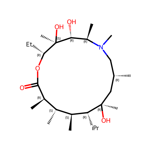 CC[C@H]1OC(=O)[C@H](C)[C@@H](C)[C@H](C)[C@@H](C(C)C)[C@](C)(O)C[C@@H](C)CN(C)[C@H](C)[C@@H](O)[C@]1(C)O